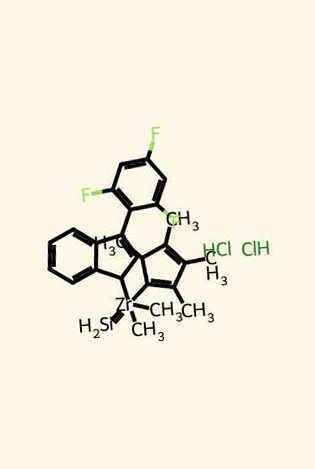 CC1=C(C)C(C)[C]([Zr]([CH3])([CH3])(=[SiH2])[CH]2C=C(c3c(F)cc(F)cc3F)c3ccccc32)=C1C.Cl.Cl